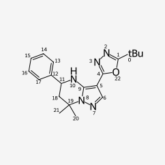 CC(C)(C)c1nnc(-c2cnn3c2NC(c2ccccc2)CC3(C)C)o1